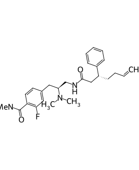 C=CCC[C@H](CC(=O)NC[C@H](Cc1ccc(C(=O)NC)c(F)c1)N(C)C)c1ccccc1